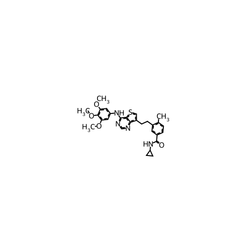 COc1cc(Nc2ncnc3c(CCc4cc(C(=O)NC5CC5)ccc4C)csc23)cc(OC)c1OC